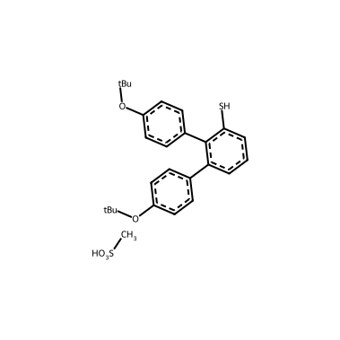 CC(C)(C)Oc1ccc(-c2cccc(S)c2-c2ccc(OC(C)(C)C)cc2)cc1.CS(=O)(=O)O